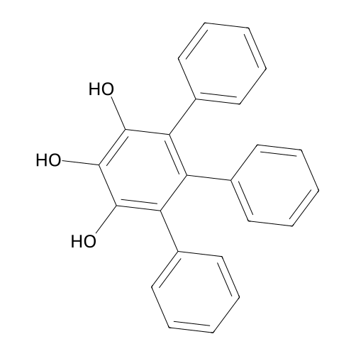 Oc1c(O)c(-c2ccccc2)c(-c2ccccc2)c(-c2ccccc2)c1O